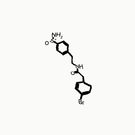 N[S+]([O-])c1ccc(CCNC(=O)Cc2ccc(Br)cc2)cc1